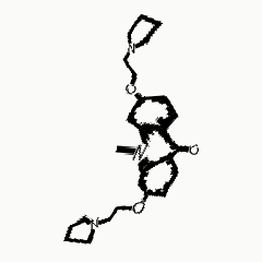 Cn1c2cc(OCCN3CCCC3)ccc2c(=O)c2ccc(OCCN3CCCC3)cc21